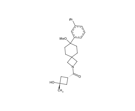 COC1(c2cccc(C(C)C)c2)CCC2(CC1)CN(C(=O)[C@H]1C[C@@](C)(O)C1)C2